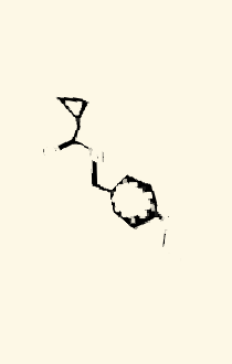 COc1ccc(CNC(=O)C2CC2)cc1